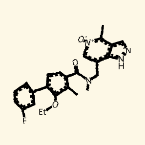 CCOc1c(-c2cccc(F)c2)ccc(C(=O)N(C)Cc2c[n+]([O-])c(C)c3cn[nH]c23)c1C